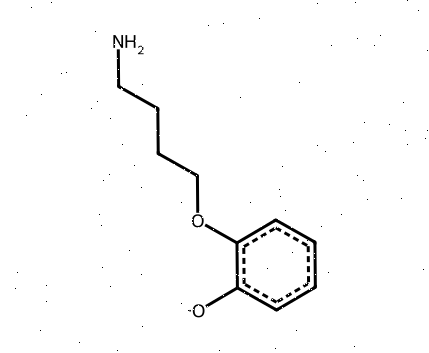 NCCCCOc1ccccc1[O]